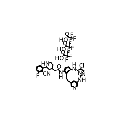 N#Cc1c(F)cccc1C1CC(CC(=O)Nc2ccc3cc2CCc2cncc(c2)Nc2ncc(Cl)c(n2)N3)CCN1.O=C(O)C(F)(F)F.O=C(O)C(F)(F)F.O=C(O)C(F)(F)F